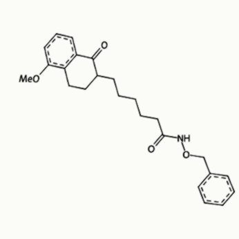 COc1cccc2c1CCC(CCCCCC(=O)NOCc1ccccc1)C2=O